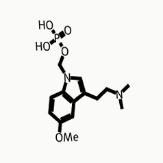 COc1ccc2c(c1)c(CCN(C)C)cn2COP(=O)(O)O